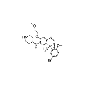 COCCOc1cc2c(cc1NC1CCNCC1)C(N)(c1cc(Br)ccc1OC)NC=N2